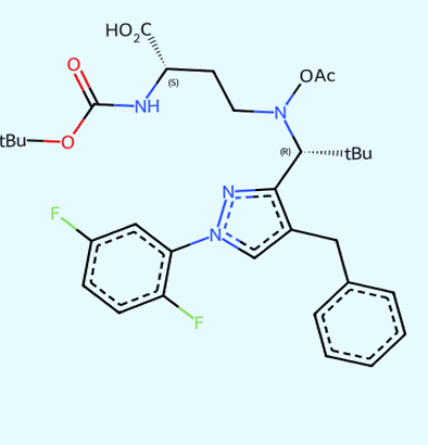 CC(=O)ON(CC[C@H](NC(=O)OC(C)(C)C)C(=O)O)[C@@H](c1nn(-c2cc(F)ccc2F)cc1Cc1ccccc1)C(C)(C)C